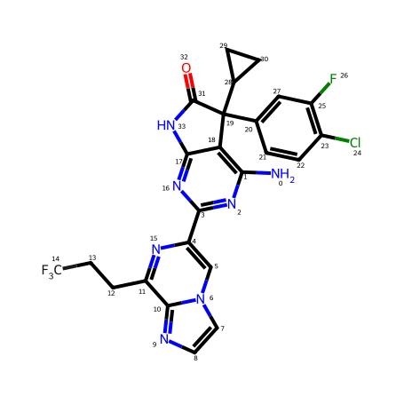 Nc1nc(-c2cn3ccnc3c(CCC(F)(F)F)n2)nc2c1C(c1ccc(Cl)c(F)c1)(C1CC1)C(=O)N2